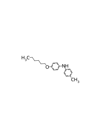 CCCCCCOc1ccc(Nc2ccc(C)cc2)cc1